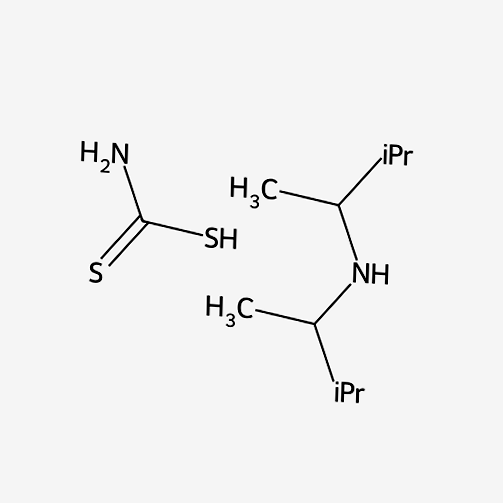 CC(C)C(C)NC(C)C(C)C.NC(=S)S